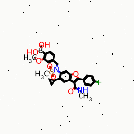 CNC(=O)c1c(-c2ccc(F)cc2)oc2cc(N(Cc3ccc(B(O)O)c(OC)c3)S(C)(=O)=O)c(C3CC3)cc12